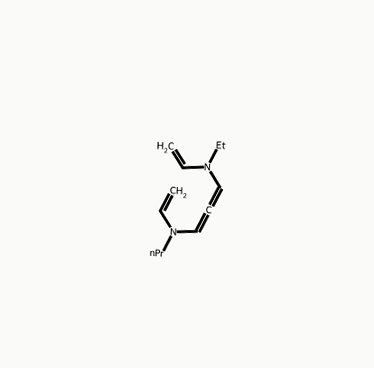 C=CN(C=C=CN(C=C)CCC)CC